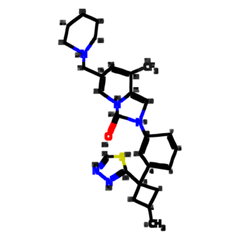 CC1CC(c2cccc(-n3cc4c(C(F)(F)F)cc(CN5CCCCC5)cn4c3=O)c2)(c2nncs2)C1